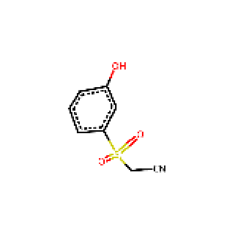 N#CCS(=O)(=O)c1cccc(O)c1